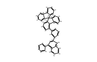 c1ccc(-c2cc(-c3cccc(-c4cccc5c4-c4ccccc4C54c5ccccc5-c5ccccc54)c3)nc3ccncc23)cc1